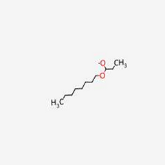 CCCCCCCCOC([O])CC